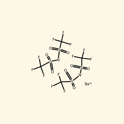 O=S(=O)([N-]S(=O)(=O)C(F)(F)F)C(F)(F)F.O=S(=O)([N-]S(=O)(=O)C(F)(F)F)C(F)(F)F.[Ba+2]